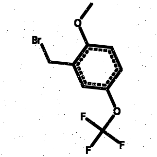 COc1ccc(OC(F)(F)F)cc1CBr